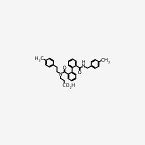 Cc1ccc(CCN(CCC(=O)O)C(=O)c2ccccc2-c2ccccc2C(=O)NCc2ccc(C)cc2)cc1